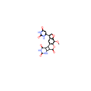 COc1c2c(cc3c(-c4cc(=O)[nH]c(=O)[nH]4)coc13)C1C3C(=O)NC(=O)NC3C1C(=O)O2